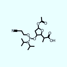 CC(=O)OC1CC(OP(OCCC#N)N(C(C)C)C(C)C)C(C(C)C(=O)O)O1